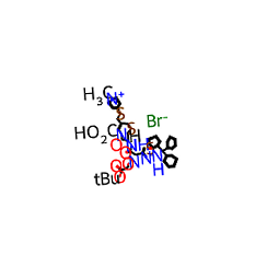 C[n+]1ccc(SCC2=C(C(=O)O)N3C(=O)[C@@H](NC(=O)/C(=N\OCC(=O)OC(C)(C)C)c4csc(NC(c5ccccc5)(c5ccccc5)c5ccccc5)n4)[C@H]3SC2)cc1.[Br-]